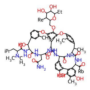 CCC1OC(COc2c3cc4cc2Oc2ccc(cc2C)C(O)C(NC(=O)C(CC(C)C)N(C)C)C(=O)NC(CC(N)=O)C(=O)NC4C(=O)NC2C(=O)NC(C(=O)NC([C](=O)[Rb])c4cc(O)c(C)c(O)c4-c4cc2ccc4O)C(C)c2ccc(c(C)c2)O3)[CH]([Re])C(O)C1O